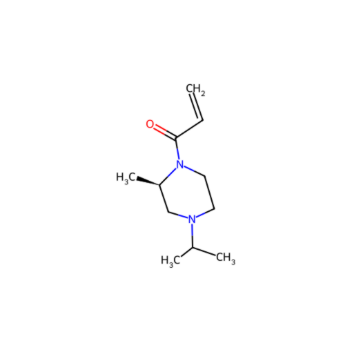 C=CC(=O)N1CCN(C(C)C)C[C@H]1C